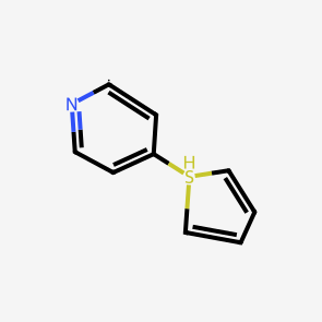 [c]1cc([SH]2C=CC=C2)ccn1